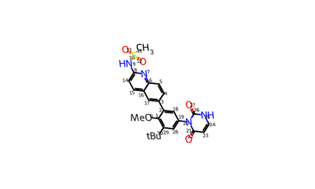 COc1c(-c2ccc3nc(NS(C)(=O)=O)ccc3c2)cc(-n2c(=O)cc[nH]c2=O)cc1C(C)(C)C